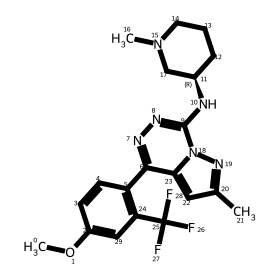 COc1ccc(-c2nnc(N[C@@H]3CCCN(C)C3)n3nc(C)cc23)c(C(F)(F)F)c1